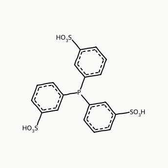 O=S(=O)(O)c1cccc(P(c2cccc(S(=O)(=O)O)c2)c2cccc(S(=O)(=O)O)c2)c1